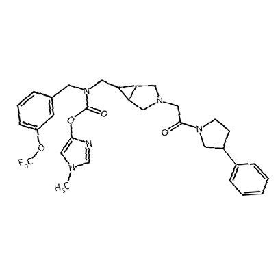 Cn1cnc(OC(=O)N(Cc2cccc(OC(F)(F)F)c2)CC2C3CN(CC(=O)N4CCC(c5ccccc5)C4)CC32)c1